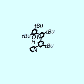 CC(C)(C)c1cc(-c2ccccn2)cc(-c2cc(C(C)(C)C)cc(-c3cc(C(C)(C)C)cc(C(C)(C)C)c3O)n2)c1